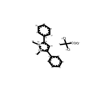 CC(Cl)(Cl)C(=O)[O-].Cn1c(-c2ccccc2)cc(-c2ccccc2)[n+]1C